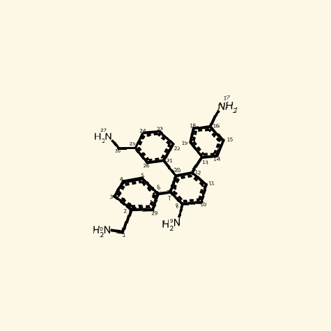 NCc1cccc(-c2c(N)ccc(-c3ccc(N)cc3)c2-c2cccc(CN)c2)c1